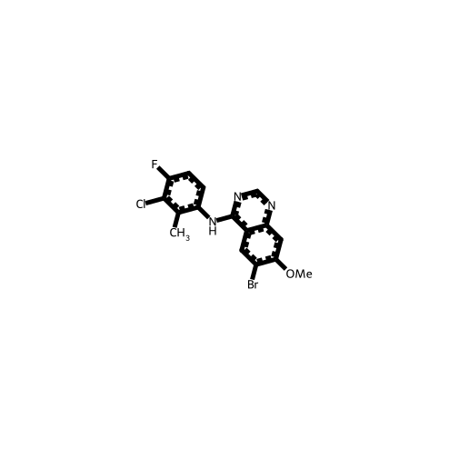 COc1cc2ncnc(Nc3ccc(F)c(Cl)c3C)c2cc1Br